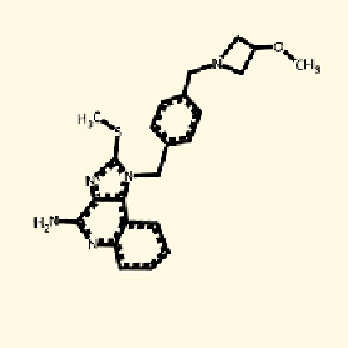 COC1CN(Cc2ccc(Cn3c(SC)nc4c(N)nc5ccccc5c43)cc2)C1